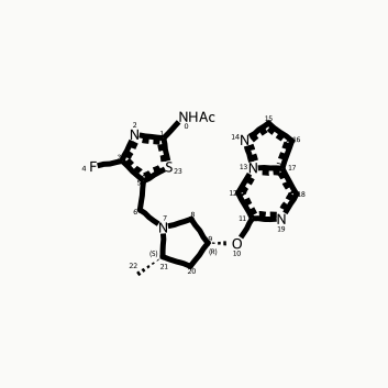 CC(=O)Nc1nc(F)c(CN2C[C@H](Oc3cn4nccc4cn3)C[C@@H]2C)s1